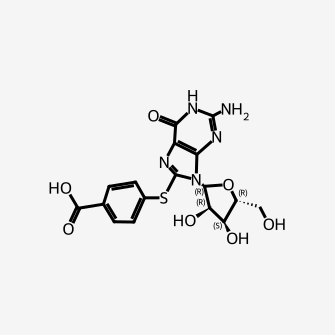 Nc1nc2c(nc(Sc3ccc(C(=O)O)cc3)n2[C@@H]2O[C@H](CO)[C@@H](O)[C@H]2O)c(=O)[nH]1